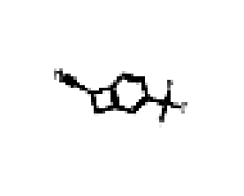 N#CC1Cc2cc(C(F)(F)F)ccc21